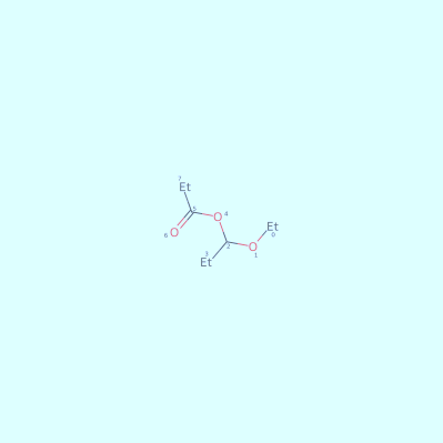 CCOC(CC)OC(=O)CC